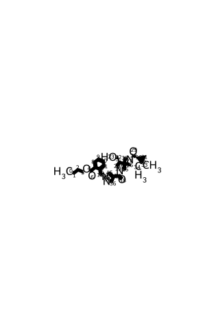 CCCCOC(=O)c1ccccc1Cn1cc(C(=O)N2C[C@@H](CO)C3(C2)CN(C(=O)[C@H]2CC2(C)C)C3)cn1